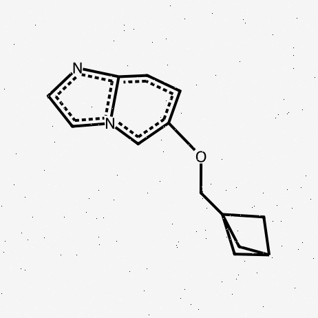 c1cn2cc(OCC34CC(C3)C4)ccc2n1